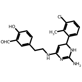 Cc1c(Cl)cccc1C1C=C(NCCc2ccc(O)c(C=O)c2)N=C(N)N1